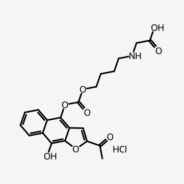 CC(=O)c1cc2c(OC(=O)OCCCCNCC(=O)O)c3ccccc3c(O)c2o1.Cl